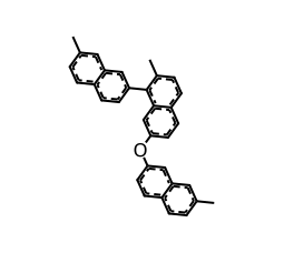 Cc1ccc2ccc(Oc3ccc4ccc(C)c(-c5ccc6ccc(C)cc6c5)c4c3)cc2c1